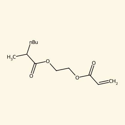 C=CC(=O)OCCOC(=O)C(C)CCCC